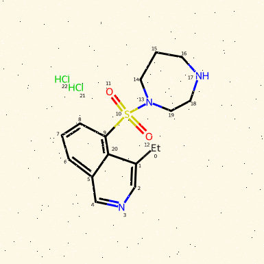 CCc1cncc2cccc(S(=O)(=O)N3CCCNCC3)c12.Cl.Cl